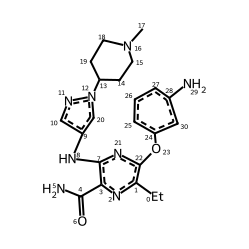 CCc1nc(C(N)=O)c(Nc2cnn(C3CCN(C)CC3)c2)nc1Oc1cccc(N)c1